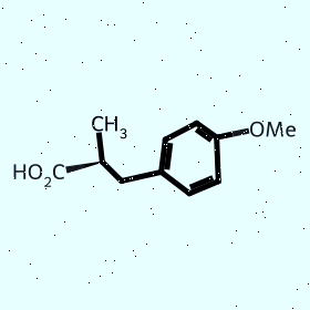 COc1ccc(C[C@H](C)C(=O)O)cc1